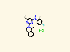 CCc1cc(Nc2ccc(F)cc2C)nc(N2CCc3ccccc3C2C)n1.Cl